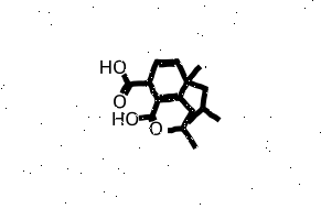 CC(C)CC1=C(C(=O)O)C(C(=O)O)C=CC1(C)CC(C)C